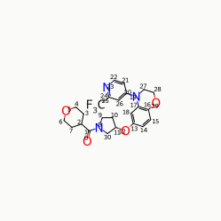 O=C(C1CCOCC1)N1CCC(Oc2ccc3c(c2)N(c2ccnc(C(F)(F)F)c2)CCO3)C1